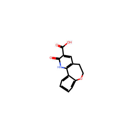 O=C(O)c1cc2c([nH]c1=O)-c1ccccc1OCC2